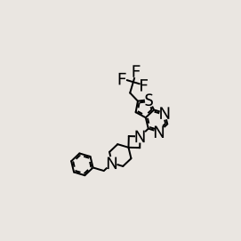 FC(F)(F)Cc1cc2c(N3CC4(CCN(Cc5ccccc5)CC4)C3)ncnc2s1